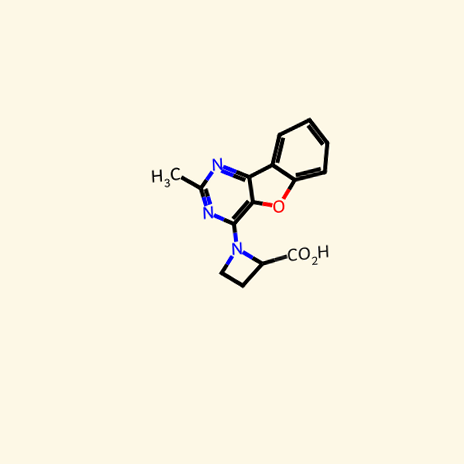 Cc1nc(N2CCC2C(=O)O)c2oc3ccccc3c2n1